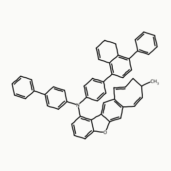 CC1/C=C\c2cc3oc4cccc(N(c5ccc(-c6ccccc6)cc5)c5ccc(-c6ccc(-c7ccccc7)c7c6C=CCC7)cc5)c4c3cc2/C=C/C1